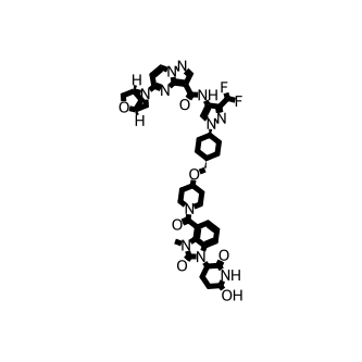 Cn1c(=O)n(C2CCC(O)NC2=O)c2cccc(C(=O)N3CCC(OC[C@H]4CC[C@H](n5cc(NC(=O)c6cnn7ccc(N8C[C@H]9C[C@@H]8CO9)nc67)c(C(F)F)n5)CC4)CC3)c21